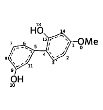 COc1c[c]c(-c2cccc(O)c2)c(O)c1